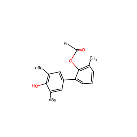 CCCCc1cc(-c2cccc(C)c2OC(=O)CC)cc(CCCC)c1O